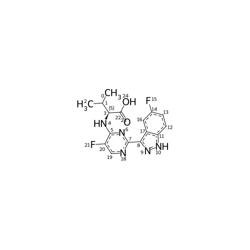 CC(C)[C@H](Nc1nc(-c2n[nH]c3ccc(F)cc23)ncc1F)C(=O)O